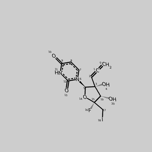 C=C=C[C@]1(O)[C@H](n2ccc(=O)[nH]c2=O)O[C@](F)(CI)[C@H]1O